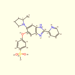 CC(=O)C1CCCN1c1cc2[nH]c(-c3ccccn3)nc2cc1Oc1ccc(S(C)(=O)=O)cc1